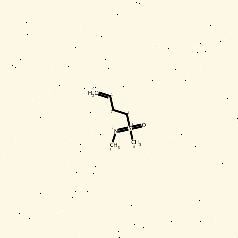 C=CCCS(C)(=O)=NC